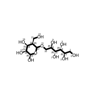 OC[C@@H](O)[C@@H](O)[C@H](O)[C@H](O)COC1O[C@@H](O)[C@@H](O)[C@@H](O)[C@H]1CO